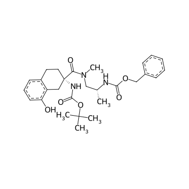 C[C@H](CN(C)C(=O)[C@]1(NC(=O)OC(C)(C)C)CCc2cccc(O)c2C1)NC(=O)OCc1ccccc1